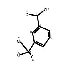 ClC(Cl)c1cccc(C(Cl)(Cl)Cl)c1